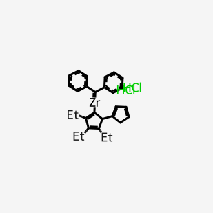 CCC1=C(CC)C(C2=CC=CC2)[C]([Zr]=[C](c2ccccc2)c2ccccc2)=C1CC.Cl.Cl